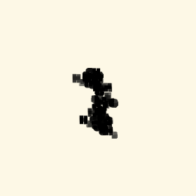 COC(=O)N[C@@H](C(=O)N1c2ccccc2C[C@H]1c1nc2cc([C@H]3CC[C@H](c4ccc5[nH]c([C@@H]6Cc7ccccc7N6C(=O)[C@H](NC(=O)O)C(C)C)nc5c4)N3c3cc(F)c(N4CCCCC4)c(F)c3)ccc2[nH]1)C(C)C